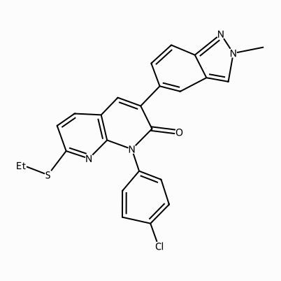 CCSc1ccc2cc(-c3ccc4nn(C)cc4c3)c(=O)n(-c3ccc(Cl)cc3)c2n1